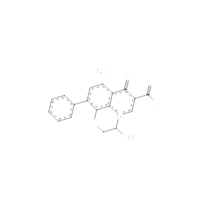 CC1COc2c(-c3ccccc3)ccc3c(=O)c(C(=O)[O-])cn1c23.[Na+]